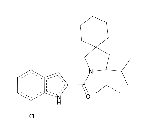 CC(C)C1(C(C)C)CC2(CCCCC2)CN1C(=O)c1cc2cccc(Cl)c2[nH]1